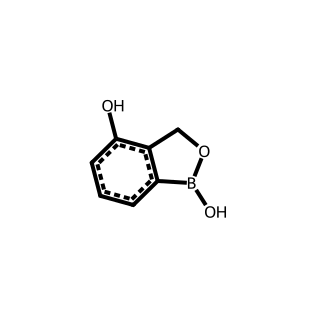 OB1OCc2c(O)cccc21